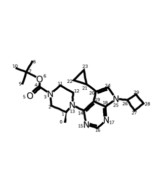 C[C@H]1CN(C(=O)OC(C)(C)C)CCN1c1ncnc2c1c(C1CC1)cn2C1CCC1